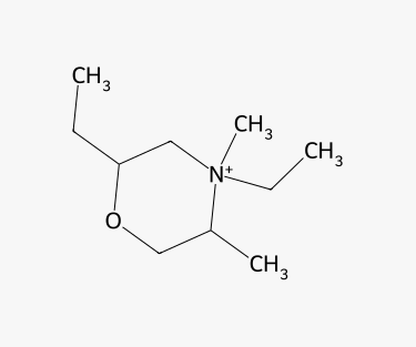 CCC1C[N+](C)(CC)C(C)CO1